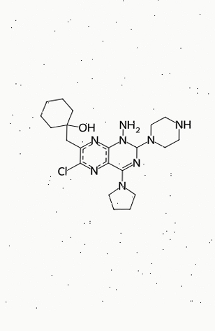 NN1c2nc(CC3(O)CCCCC3)c(Cl)nc2C(N2CCCC2)=NC1N1CCNCC1